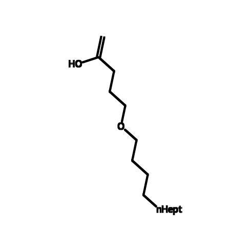 C=C(O)CCCOCCCCCCCCCCC